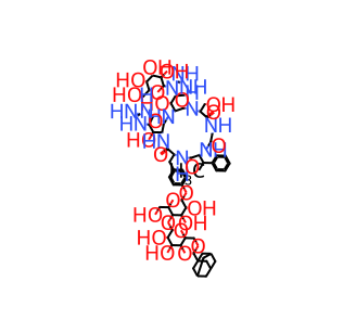 CC(c1ccccc1)C1NC(=O)CNC(=O)C(CO)NC(=O)C(C(O)C2CNC(=N)N2C2OC(CO)C(O)C(O)C2O)NC(=O)C(C(O)C2CNC(=N)N2)NC(=O)C(Cc2ccc(OC3OC(CO)C(OC4OC5COC(C67CC8CC(CC(C8)C6)C7)OC5C(O)C4O)C(O)C3O)cc2)NC1=O